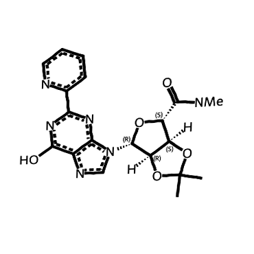 CNC(=O)[C@H]1O[C@@H](n2cnc3c(O)nc(-c4ccccn4)nc32)[C@@H]2OC(C)(C)O[C@@H]21